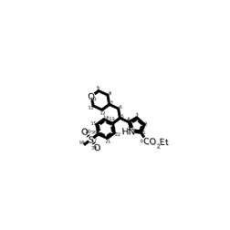 CCOC(=O)c1ccc(C(CC2CCOCC2)c2ccc(S(C)(=O)=O)cc2)[nH]1